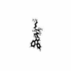 NCCCC[C@H](NC(=O)c1cnn2c(C3CCCCC3)c(-c3ccc(F)cc3)cnc12)C(=O)O